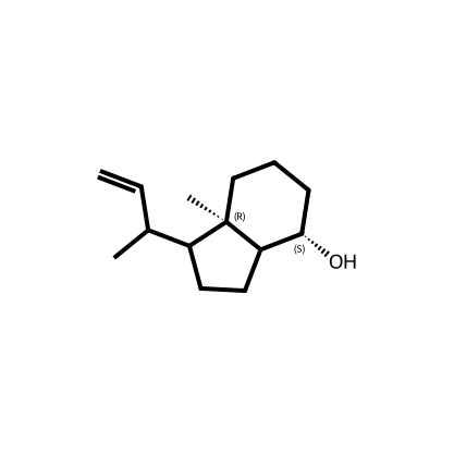 C=CC(C)C1CCC2[C@@H](O)CCC[C@]12C